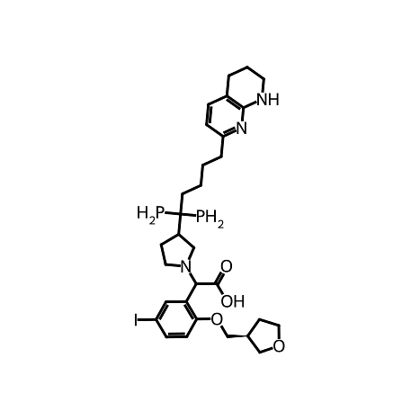 O=C(O)C(c1cc(I)ccc1OC[C@H]1CCOC1)N1CCC(C(P)(P)CCCCc2ccc3c(n2)NCCC3)C1